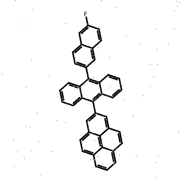 Fc1ccc2cc(-c3c4ccccc4c(-c4cc5ccc6cccc7ccc(c4)c5c67)c4ccccc34)ccc2c1